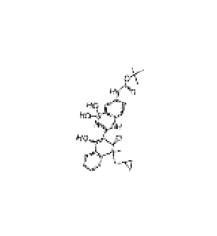 CC(C)(C)OC(=O)Nc1ccc2c(c1)S(O)(O)N=C(C1=C(O)c3ccccc3C(C)(CC3CC3)C1=O)N2